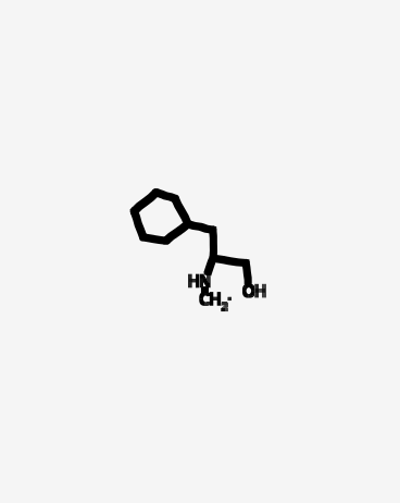 [CH2]NC(CO)CC1CCCCC1